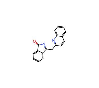 O=C1N=C(Cc2ccc3ccccc3n2)c2ccccc21